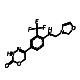 O=C1NN=C(c2ccc(NCN3C=COC3)c(C(F)(F)F)c2)CO1